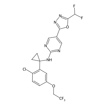 FC(F)c1nnc(-c2cnc(NC3(c4cc(OCC(F)(F)F)ccc4Cl)CC3)nc2)o1